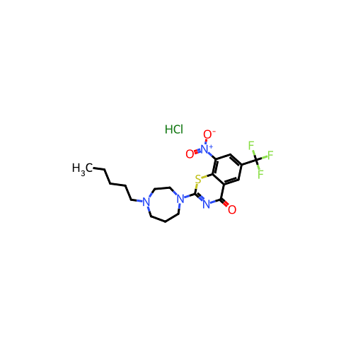 CCCCCN1CCCN(c2nc(=O)c3cc(C(F)(F)F)cc([N+](=O)[O-])c3s2)CC1.Cl